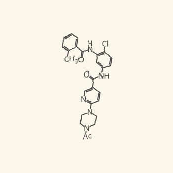 CC(=O)N1CCN(c2ccc(C(=O)Nc3ccc(Cl)c(NC(=O)c4ccccc4C)c3)cn2)CC1